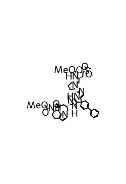 COC(=O)N[C@@H](CCS(C)(=O)=O)CN1CCC[C@H]1c1ncc(C2(c3cnc([C@H]4CC(=O)C5c6c(ccn6C4)CC[C@@H]5NC(=O)OC)[nH]3)C=CC(c3ccccc3)=CC2)[nH]1